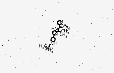 CC(C)c1c(-c2cn(CC#N)c3ncccc23)[nH]c2ccc(C3CCC(NCC(=O)N(C)C)CC3)nc12